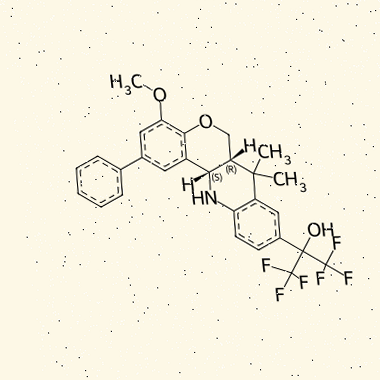 COc1cc(-c2ccccc2)cc2c1OC[C@H]1[C@@H]2Nc2ccc(C(O)(C(F)(F)F)C(F)(F)F)cc2C1(C)C